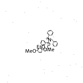 CCOC(=O)C[C@@H](c1cccc(-c2cc(OC)ccc2OC)c1)N(Cc1ccccc1)[C@H](C)c1ccccc1